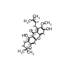 COc1c(O)cc2oc3cc4c(c(O)c3c(=O)c2c1CC=C(C)C)CCC(C)(C)O4